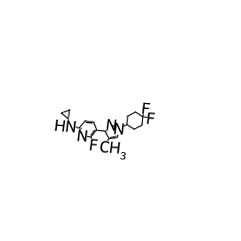 Cc1cn(C2CCC(F)(F)CC2)nc1-c1ccc(NC2CC2)nc1F